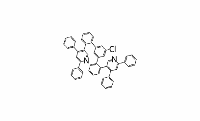 Clc1cc(-c2ccccc2-c2cnc(-c3ccccc3)cc2-c2ccccc2)cc(-c2ccccc2-c2cnc(-c3ccccc3)cc2-c2ccccc2)c1